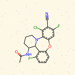 CC(=O)NC1CCCN2c3c(cc(F)c(C#N)c3Cl)Oc3cccc(F)c3C12